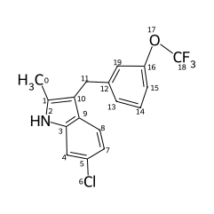 Cc1[nH]c2cc(Cl)ccc2c1Cc1cccc(OC(F)(F)F)c1